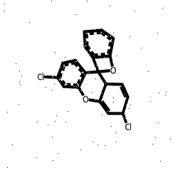 Clc1ccc2c(c1)OC1=CC(Cl)C=CC1C21Oc2ccccc21